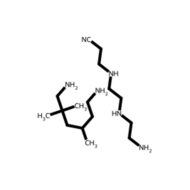 CC(CCN)CC(C)(C)CN.N#CCCNCCNCCN